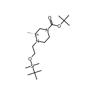 C[C@@H]1CN(C(=O)OC(C)(C)C)CCN1CCO[Si](C)(C)C(C)(C)C